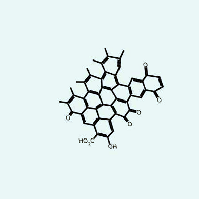 CC1=C(C)c2c3c(cc4c(C(=O)O)c(O)cc5c6c(=O)c(=O)c7c8cc9c(=O)ccc(=O)c9cc8c8c9cc(C)c(C)c(C)c9c9c(C)c(C)c2c2c9c8c7c6c2c3c45)C1=O